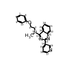 CN(CCOc1ccccc1)c1nc(-c2cccnc2)nc2ccccc12